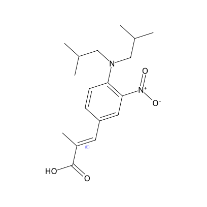 C/C(=C\c1ccc(N(CC(C)C)CC(C)C)c([N+](=O)[O-])c1)C(=O)O